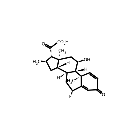 C[C@@H]1C[C@H]2[C@@H]3C[C@H](F)C4=CC(=O)C=C[C@]4(C)[C@H]3[C@H](O)C[C@]2(C)[C@H]1C(=O)C(=O)O